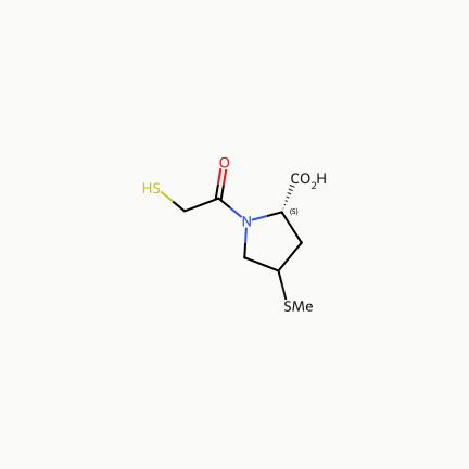 CSC1C[C@@H](C(=O)O)N(C(=O)CS)C1